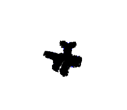 c1ccc(-c2nc(-c3ccccc3)nc(-c3ccc(-n4c5ccc(-n6c7ccc(-n8cccc8)cc7c7cc(-n8cccc8)ccc76)cc5c5cc(-n6c7ccc(-n8cccc8)cc7c7cc(-n8cccc8)ccc76)ccc54)cc3)n2)cc1